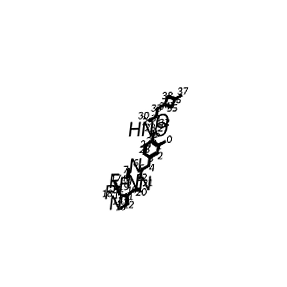 Cc1cc(Cc2nccn3c(C4=CCN=C4C(F)(F)F)cnc23)ccc1C(=O)N[C@H](C)C(=O)CC1CC(C)C1